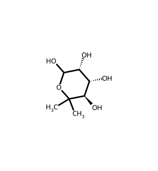 CC1(C)OC(O)[C@H](O)[C@H](O)[C@H]1O